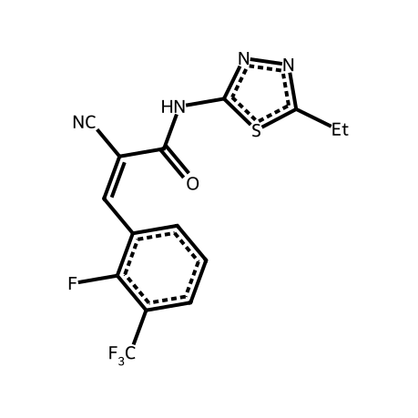 CCc1nnc(NC(=O)C(C#N)=Cc2cccc(C(F)(F)F)c2F)s1